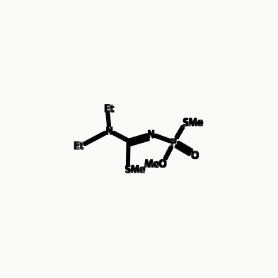 CCN(CC)/C(=N/P(=O)(OC)SC)SC